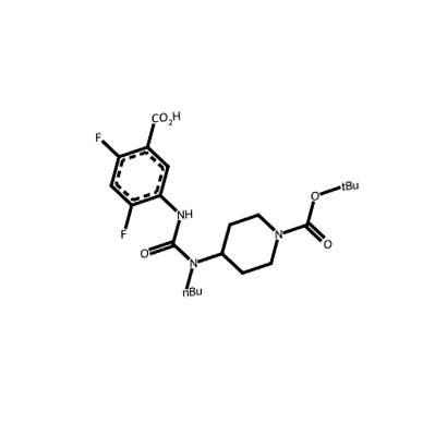 CCCCN(C(=O)Nc1cc(C(=O)O)c(F)cc1F)C1CCN(C(=O)OC(C)(C)C)CC1